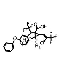 CC1(C)C(C=C(Cl)C(F)(F)F)C1(C(=O)O)C(c1ccnc(Oc2ccccc2)c1)C(F)(F)F